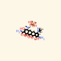 CN(C)[C@@H]1C(O)=C(C(N)=O)C(=O)[C@@]2(O)C(O)=C3C(=O)c4c(O)c(N)cc(NC(C)(C)C)c4CC3CC12.O=S(=O)(O)O